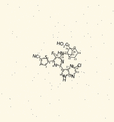 N#Cc1ccc(-c2nc(-c3c[nH]c4ncc(Cl)nc34)nc(NC3C4CCC(CC4)C3C(=O)O)c2F)s1